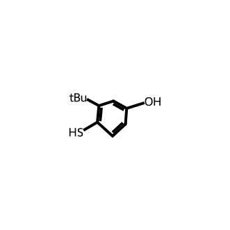 CC(C)(C)c1cc(O)ccc1S